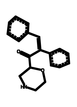 O=C(C(=Cc1ccccc1)c1ccccc1)C1CNCCO1